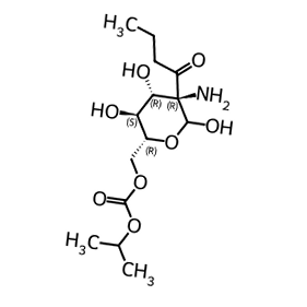 CCCC(=O)[C@]1(N)C(O)O[C@H](COC(=O)OC(C)C)[C@@H](O)[C@@H]1O